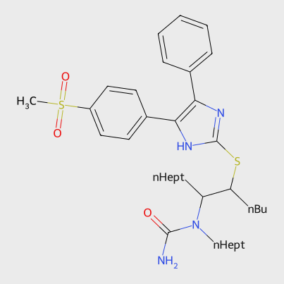 CCCCCCCC(C(CCCC)Sc1nc(-c2ccccc2)c(-c2ccc(S(C)(=O)=O)cc2)[nH]1)N(CCCCCCC)C(N)=O